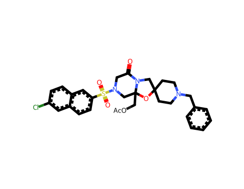 CC(=O)OCC12CN(S(=O)(=O)c3ccc4cc(Cl)ccc4c3)CC(=O)N1CC1(CCN(Cc3ccccc3)CC1)O2